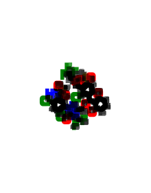 CS(=O)(=O)c1ccc(C(=O)C2C(=O)CCCC2=O)c(Cl)c1COCC(F)(F)F.Cc1nn(-c2cc(NS(C)(=O)=O)c(Cl)cc2Cl)c(=O)n1C(F)F